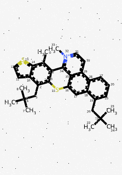 Cc1c2c(c(CC(C)(C)C)c3ccsc13)Sc1cc3c(CC(C)(C)C)cccc3c3cc[n+](C)c-2c13